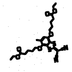 CCOC(=O)CCCCOc1cc(C)c(OCCCCC(=O)OCC)c2c1SC(=C(C#N)C#N)S2